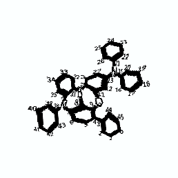 c1ccc(-c2ccc3c4c2Oc2cc(N(c5ccccc5)c5ccccc5)ccc2B4c2ccccc2N3c2ccccc2)cc1